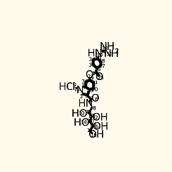 Cl.Cn1cc(C(=O)NC[C@H](O)[C@@H](O)[C@H](O)[C@H](O)CO)c2ccc(OC(=O)c3ccc(NC(=N)N)cc3)cc21